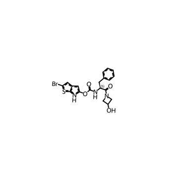 O=C(N[C@@H](Cc1ccccc1)C(=O)N1CC(O)C1)Oc1cc2cc(Br)sc2[nH]1